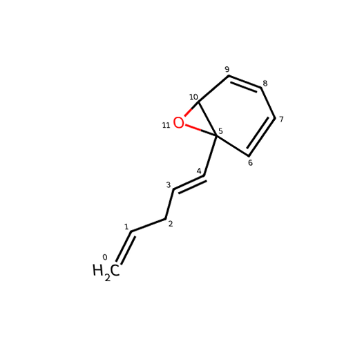 C=CCC=CC12C=CC=CC1O2